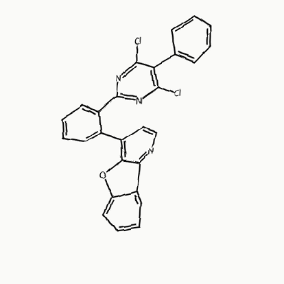 Clc1nc(-c2ccccc2-c2ccnc3c2oc2ccccc23)nc(Cl)c1-c1ccccc1